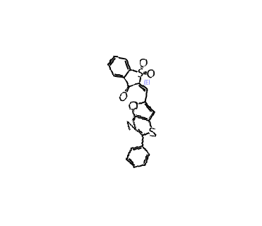 O=C1/C(=C\c2cc3sc(-c4ccccc4)nc3o2)S(=O)(=O)c2ccccc21